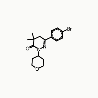 CC1(C)CC(c2ccc(Br)cc2)=NN(C2CCOCC2)C1=O